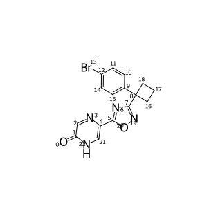 O=c1cnc(-c2nc(C3(c4ccc(Br)cc4)CCC3)no2)c[nH]1